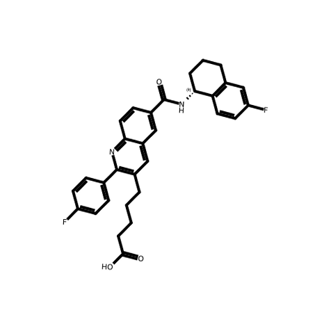 O=C(O)CCCCc1cc2cc(C(=O)N[C@@H]3CCCc4cc(F)ccc43)ccc2nc1-c1ccc(F)cc1